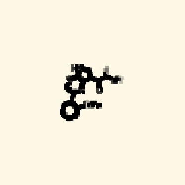 CCCNC(=O)c1c[nH]c2ncc(-c3ccccc3OC)nc12